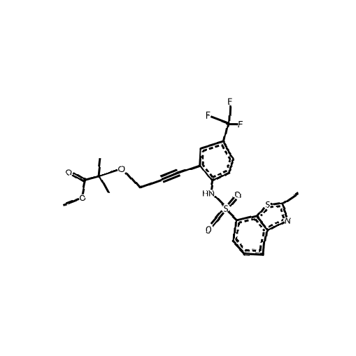 COC(=O)C(C)(C)OCC#Cc1cc(C(F)(F)F)ccc1NS(=O)(=O)c1cccc2nc(C)sc12